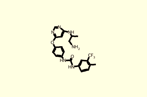 Cc1ccc(NC(=O)Nc2ccc(Oc3cc(NC(C)CN)ncn3)cc2)cc1C(F)(F)F